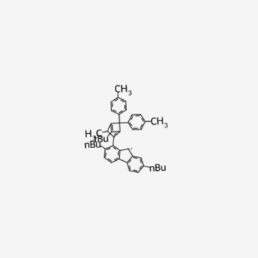 CCCCc1ccc2c(c1)[CH]c1c-2ccc(CCCC)c1C1=C2C(C(C)(C)C)=C(C1C)C2(c1ccc(C)cc1)c1ccc(C)cc1